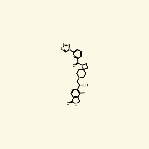 Cc1c([C@@H](O)CN2CCC3(CC2)CCN3C(=O)c2cccc(-n3cnnn3)n2)ccc2c1COC2=O